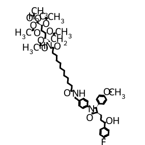 C=C(C)O[C@@H]([C@H](OC(C)=O)[C@@H](COC(C)=O)OC(=C)C)[C@H](CNC(=O)CCCCCCCCCCC(=O)NCc1ccc(N2C(=O)[C@H](CCC(O)c3ccc(F)cc3)[C@H]2c2ccc(OC)cc2)cc1)OC(C)=O